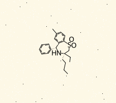 CCCC[C@@]1(CC)CS(=O)(=O)c2ccc(C)cc2[C@@H](c2ccccc2)N1